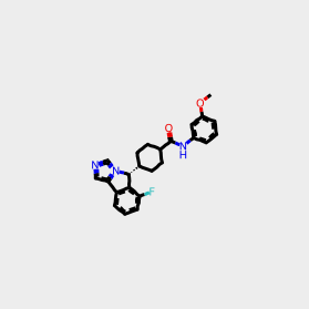 COc1cccc(NC(=O)C2CCC([C@@H]3c4c(F)cccc4-c4cncn43)CC2)c1